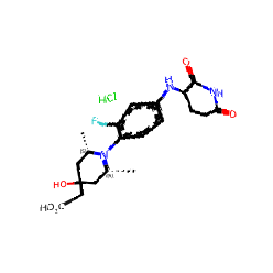 C[C@@H]1CC(O)(CC(=O)O)C[C@H](C)N1c1ccc(NC2CCC(=O)NC2=O)cc1F.Cl